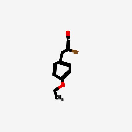 CCOc1ccc(CC(Br)=C=O)cc1